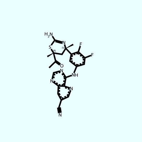 CC(=O)[C@@]1(C)C[C@@](C)(c2cc(Nc3ncnc4cc(C#N)cnc34)cc(F)c2F)N=C(N)S1